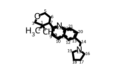 CC1(C)COCCC1c1ccc2cc(CN3CCCC3)ccc2n1